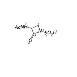 CC(=O)NC1CN(S(=O)(=O)O)C1=O